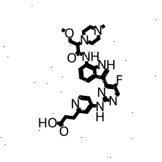 COCC(C(=O)Nc1cccc2c(-c3nc(Nc4ccnc(CCC(=O)O)c4)ncc3F)c[nH]c12)N1CCN(C)CC1